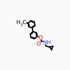 Cc1cccc(-c2cccc(OC(=O)NCC3CC3)c2)c1